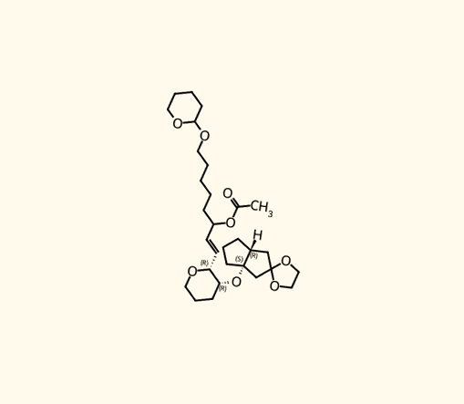 CC(=O)OC(C=C[C@H]1OCCC[C@H]1O[C@]12CCC[C@@H]1CC1(C2)OCCO1)CCCCCOC1CCCCO1